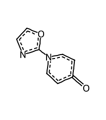 O=c1ccn(-c2ncco2)cc1